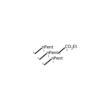 CCCCCC.CCCCCC.CCCCCC.CCOC(C)=O